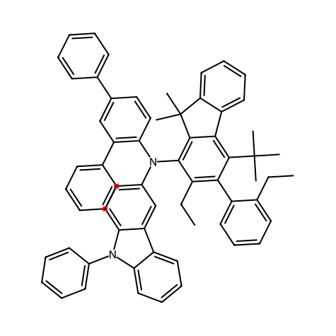 CCc1ccccc1-c1c(CC)c(N(c2ccc3c(c2)c2ccccc2n3-c2ccccc2)c2ccc(-c3ccccc3)cc2-c2ccccc2)c2c(c1C(C)(C)C)-c1ccccc1C2(C)C